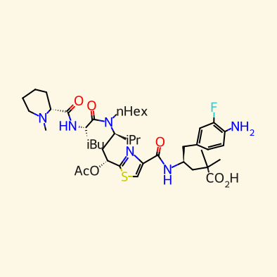 CCCCCCN(C(=O)[C@@H](NC(=O)[C@H]1CCCCN1C)[C@@H](C)CC)[C@H](C[C@@H](OC(C)=O)c1nc(C(=O)N[C@@H](Cc2ccc(N)c(F)c2)CC(C)(C)C(=O)O)cs1)C(C)C